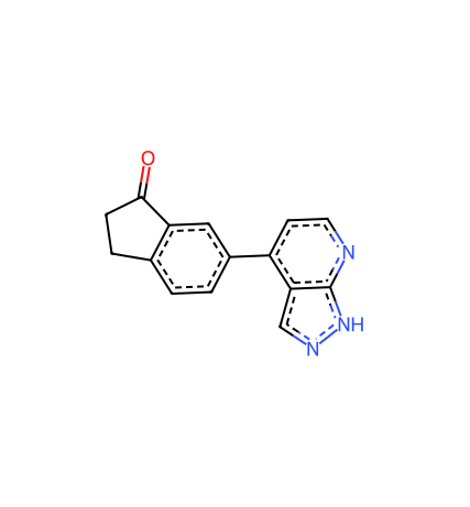 O=C1CCc2ccc(-c3ccnc4[nH]ncc34)cc21